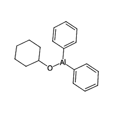 c1cc[c]([Al]([O]C2CCCCC2)[c]2ccccc2)cc1